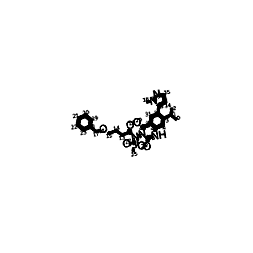 CC(C)c1cc2[nH]c(=O)n(N(C(=O)CCCOCc3ccccc3)S(C)(=O)=O)c(=O)c2cc1-c1ccnn1C